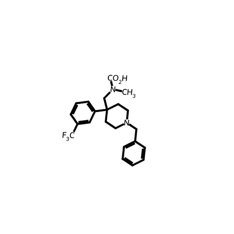 CN(CC1(c2cccc(C(F)(F)F)c2)CCN(Cc2ccccc2)CC1)C(=O)O